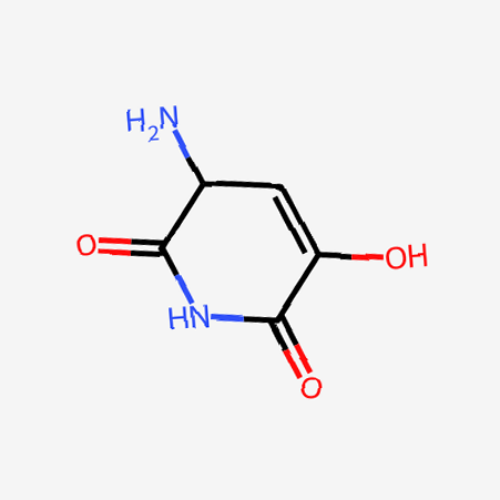 NC1C=C(O)C(=O)NC1=O